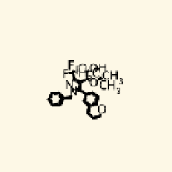 CC(C)(C)OC(C(=O)O)c1c(C(F)(F)F)nn(Cc2ccccc2)c1-c1ccc2c(c1)CCCO2